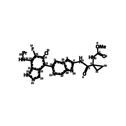 COC(=O)NC1(C(=O)Nc2cn3cc(-c4c(Cl)c(F)c(NC(C)C)c5[nH]ncc45)ncc3n2)CC1